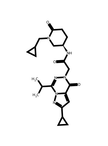 CC(C)c1nn(CC(=O)N[C@@H]2CCC(=O)N(CC3CC3)C2)c(=O)c2cc(C3CC3)nn12